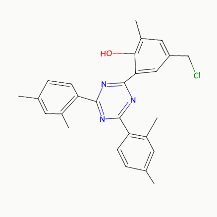 Cc1ccc(-c2nc(-c3ccc(C)cc3C)nc(-c3cc(CCl)cc(C)c3O)n2)c(C)c1